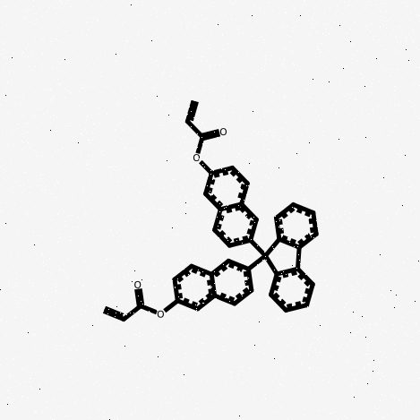 C=CC(=O)Oc1ccc2cc(C3(c4ccc5cc(OC(=O)C=C)ccc5c4)c4ccccc4-c4ccccc43)ccc2c1